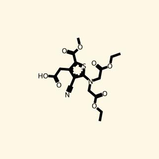 CCOC(=O)CN(CC(=O)OCC)c1sc(C(=O)OC)c(CC(=O)O)c1C#N